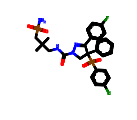 CC(C)(CNC(=O)N1CC(c2ccccc2)(S(=O)(=O)c2ccc(Cl)cc2)C(c2ccc(F)cc2)=N1)CS(N)(=O)=O